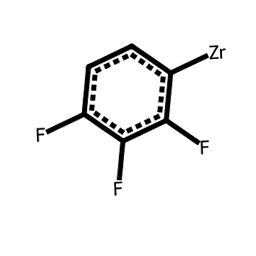 Fc1cc[c]([Zr])c(F)c1F